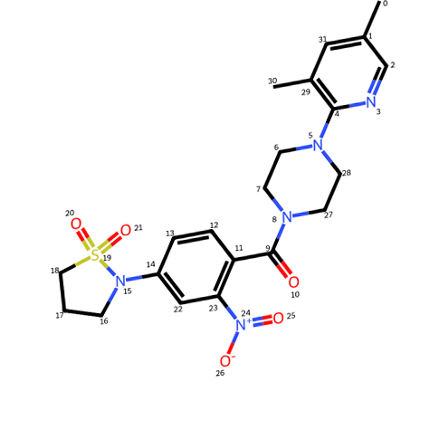 Cc1cnc(N2CCN(C(=O)c3ccc(N4CCCS4(=O)=O)cc3[N+](=O)[O-])CC2)c(C)c1